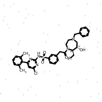 Cc1cccc(C)c1-c1cc(Cl)nc(NS(=O)(=O)c2cccc(CC(=O)N3CCN(Cc4ccccc4)C[C@H](O)[C@H]3CC(C)C)c2)n1